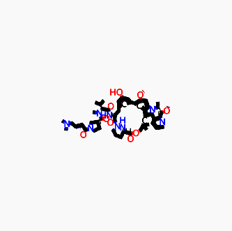 CCn1c(-c2cccnc2[C@H](C)OC)c2c3cc(c(OC)cc31)-c1cc(O)cc(c1)C[C@H](NC(=O)[C@H](C(C)C)N(C)C(=O)[C@H]1CCN(C(=O)/C=C/CN(C)C)C1)C(=O)N1CCC[C@H](N1)C(=O)OCC(C)(C)C2